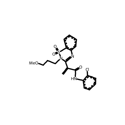 C=C(C(=O)Nc1ccccc1Cl)C1=Nc2ccccc2S(=O)(=O)N1CCCOC